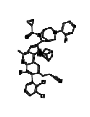 Cc1nc2c(F)c(-c3cccc(Cl)c3Cl)c(CCC#N)cc2c2c1cc(C1C3CC(CN(c4ccccc4F)C3)N1C(=O)C1CC1)n2C1C2CNC1C2